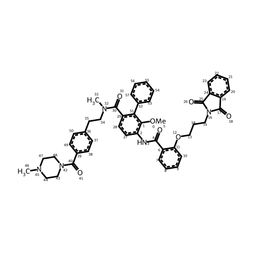 COc1c(NC(=O)c2ccccc2OCCCN2C(=O)c3ccccc3C2=O)ccc(C(=O)N(C)CCc2ccc(C(=O)N3CCN(C)CC3)cc2)c1-c1ccccc1